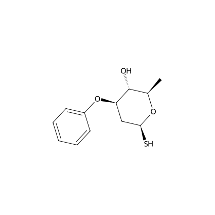 C[C@H]1O[C@@H](S)C[C@@H](Oc2ccccc2)[C@@H]1O